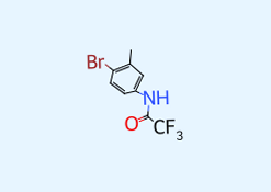 Cc1cc(NC(=O)C(F)(F)F)ccc1Br